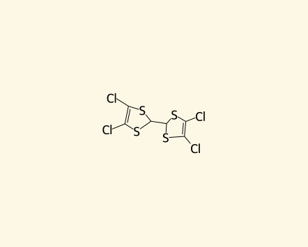 ClC1=C(Cl)SC(C2SC(Cl)=C(Cl)S2)S1